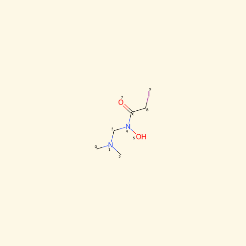 CN(C)CN(O)C(=O)CI